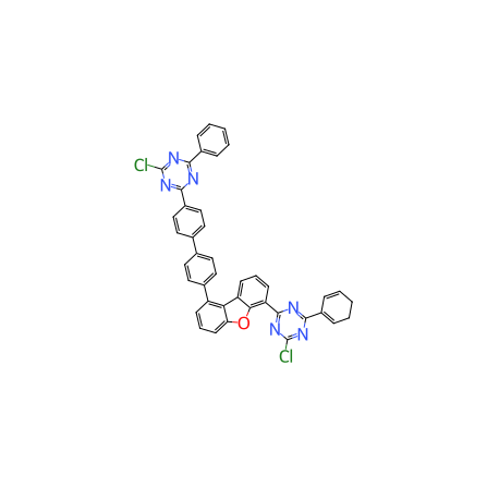 Clc1nc(-c2ccccc2)nc(-c2ccc(-c3ccc(-c4cccc5oc6c(-c7nc(Cl)nc(C8=CCCC=C8)n7)cccc6c45)cc3)cc2)n1